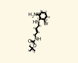 CC(C)(C)OC(=O)NCC=CCNc1c(N)cccc1Br